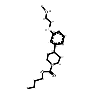 CCCCOC(=O)N1CCC(c2cccc(OCCOC)c2)CC1